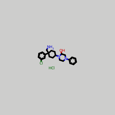 Cl.NCC1(c2cccc(Cl)c2)CCC(N2CCN(c3ccccc3)CC2O)CC1